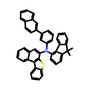 CC1(C)c2ccccc2-c2c(N(c3cccc(-c4ccc5ccccc5c4)c3)c3cc4ccccc4c4c3sc3ccccc34)cccc21